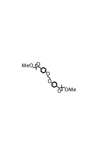 COCC1(C)COC1c1ccc(OCCOc2ccc(C3OCC3(C)COC)cc2)cc1